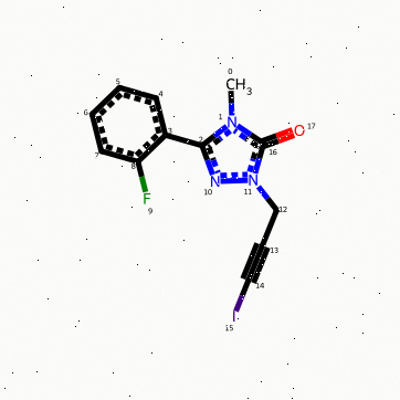 Cn1c(-c2ccccc2F)nn(CC#CI)c1=O